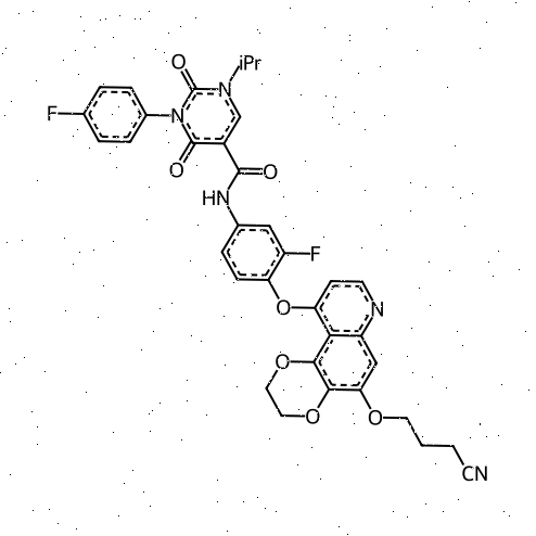 CC(C)n1cc(C(=O)Nc2ccc(Oc3ccnc4cc(OCCCC#N)c5c(c34)OCCO5)c(F)c2)c(=O)n(-c2ccc(F)cc2)c1=O